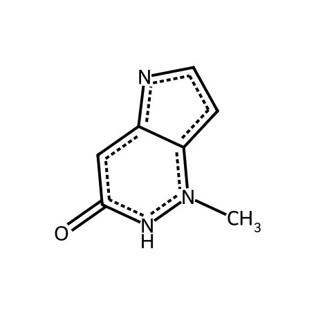 Cn1[nH]c(=O)cc2nccc1-2